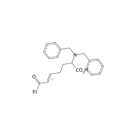 CCC(=O)/C=C/CCC(C(=O)O)N(Cc1ccccc1)Cc1ccccc1